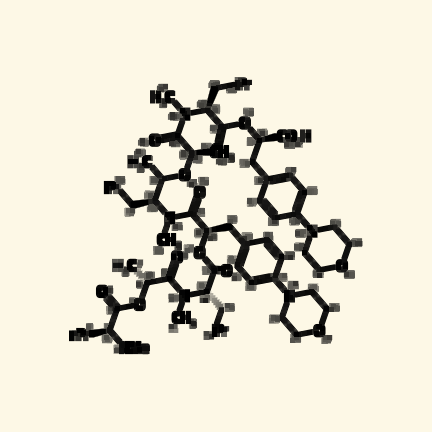 CCC[C@H](NC)C(=O)O[C@H](C)C(=O)N(C)[C@@H](CC(C)C)C(=O)O[C@H](Cc1ccc(N2CCOCC2)cc1)C(=O)N(C)[C@@H](CC(C)C)C(C)O[C@H](C)C(=O)N(C)[C@@H](CC(C)C)C(=O)O[C@H](Cc1ccc(N2CCOCC2)cc1)C(=O)O